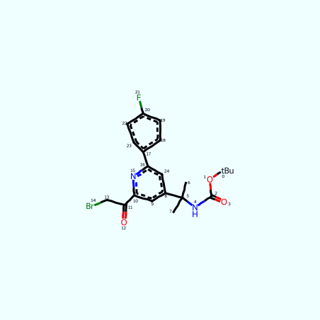 CC(C)(C)OC(=O)NC(C)(C)c1cc(C(=O)CBr)nc(-c2ccc(F)cc2)c1